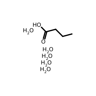 CCCC(=O)O.O.O.O.O.O